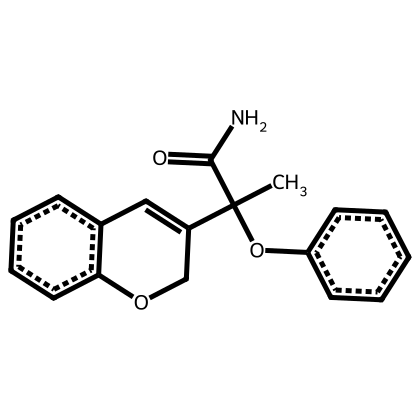 CC(Oc1ccccc1)(C(N)=O)C1=Cc2ccccc2OC1